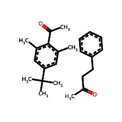 CC(=O)CCc1ccccc1.CC(=O)c1c(C)cc(C(C)(C)C)cc1C